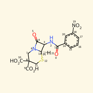 O=C(NC1C(=O)N2CC(C(=O)O)(C(=O)O)CS[C@H]12)c1cccc([N+](=O)[O-])c1